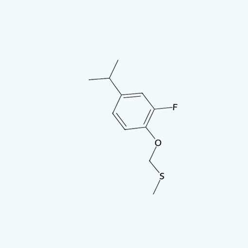 CSCOc1ccc(C(C)C)cc1F